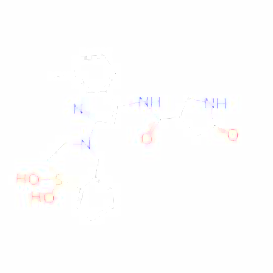 Cc1cccc2c(NC(=O)C3CNC(=O)C3)cc(N3CCS(O)(O)c4ccccc4C3)nc12